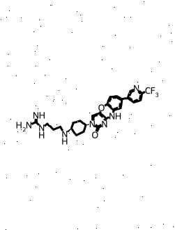 N=C(N)NCCCN[C@H]1CC[C@H](n2cc3c(nc2=O)Nc2cc(-c4ccc(C(F)(F)F)nc4)ccc2O3)CC1